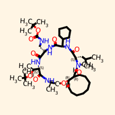 CC(C)C[C@H]1C(=O)NC(C2CCCCC2)C(=O)N[C@@H](CNC(=O)OC(C)(C)C)C(=O)N[C@@H]([C@H](C)OC(C)(C)C)C(=O)N[C@H](C)CO[C@@H]2CCCCCCCC[C@H]2C(=O)N1C